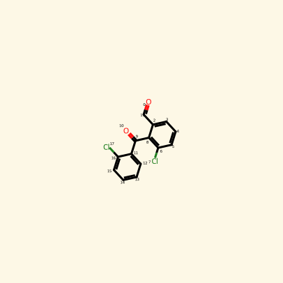 O=[C]c1cccc(Cl)c1C(=O)c1ccccc1Cl